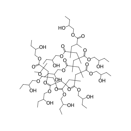 CCC(O)COC(=O)C(C)CC(C)(CC(C)(CC(C)(CC(C)(CC(C)(CC(C)(CC(C)(CC(C)(CC(C)(CC)C(=O)OCC(O)CC)C(=O)OCC(O)CC)C(=O)OCC(O)CC)C(=O)OCC(O)CC)C(=O)OCC(O)CC)C(=O)OCC(O)CC)C(=O)OCC(O)CC)C(=O)OCC(O)CC)C(=O)OCC(O)CC